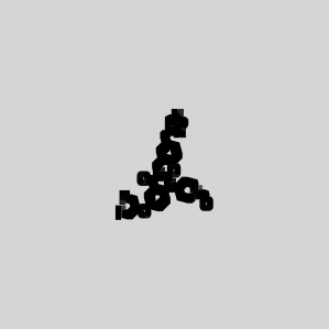 O=CN1CCC(n2c(=O)n(Cc3cccc(Cn4cncn4)c3)c(=O)c3cc(OC(CF)CF)ccc32)CC1